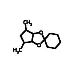 CC1CC(C)C2OC3(CCCCC3)OC12